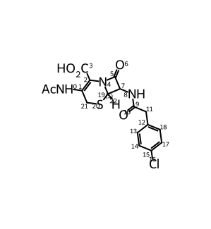 CC(=O)NC1=C(C(=O)O)N2C(=O)C(NC(=O)Cc3ccc(Cl)cc3)[C@@H]2SC1